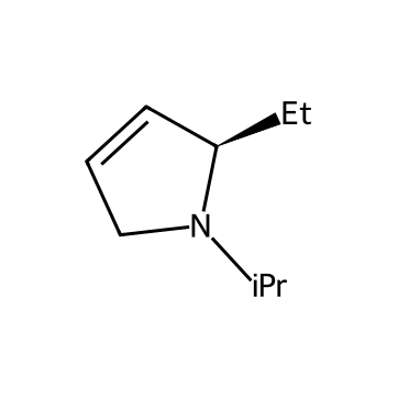 CC[C@@H]1C=CCN1C(C)C